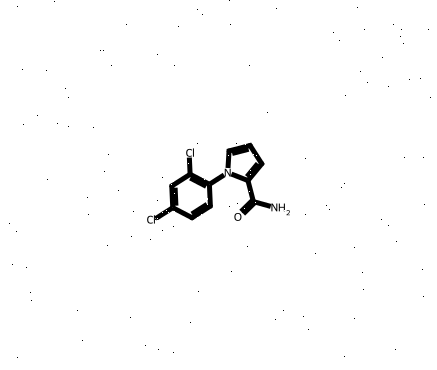 NC(=O)c1cccn1-c1ccc(Cl)cc1Cl